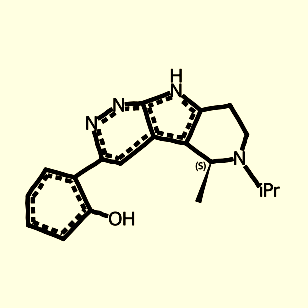 CC(C)N1CCc2[nH]c3nnc(-c4ccccc4O)cc3c2[C@@H]1C